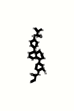 C=CC(=O)Sc1ccc(-c2cccc3c(-c4ccc(SC(=O)C(=C)C)cc4)cccc23)cc1F